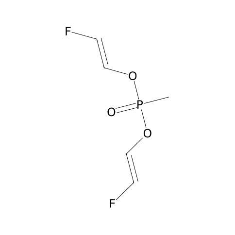 CP(=O)(OC=CF)OC=CF